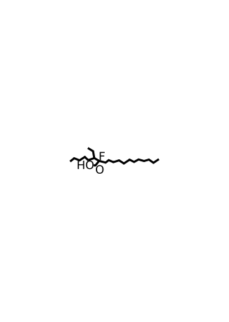 CCCCCCCCCCCCC(F)(C(=O)O)C(CC)CCCCC